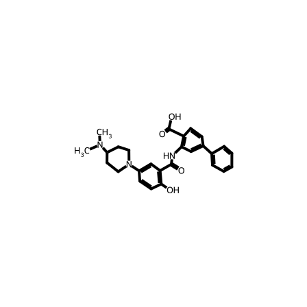 CN(C)C1CCN(c2ccc(O)c(C(=O)Nc3cc(-c4ccccc4)ccc3C(=O)O)c2)CC1